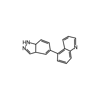 C1=CC2NN=CC2C=C1c1cccc2ncccc12